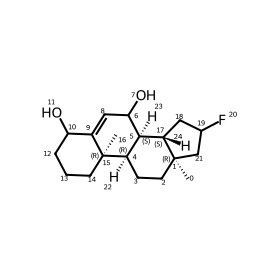 C[C@]12CC[C@@H]3[C@@H](C(O)C=C4C(O)CCC[C@@]43C)[C@@H]1CC(F)C2